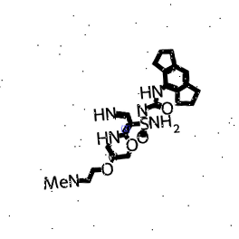 CNCCO[C@H]1CN/C(=C(\C=N)S(N)(=O)=NC(=O)Nc2c3c(cc4c2CCC4)CCC3)OC1